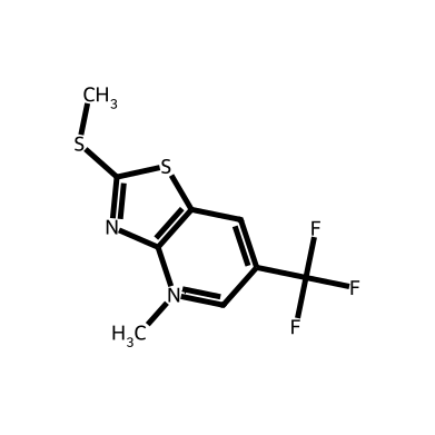 CSc1nc2c(cc(C(F)(F)F)c[n+]2C)s1